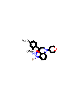 COc1ccc(CC2NN(Br)C3=CC=CC4N(C5CCOCC5)CCC(=O)C324)c(OC)c1